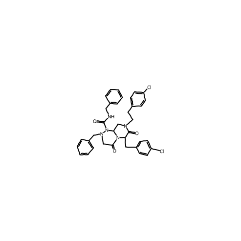 O=C1C(Cc2ccc(Cl)cc2)N2C(=O)CN(Cc3ccccc3)N(C(=O)NCc3ccccc3)C2CN1CCc1ccc(Cl)cc1